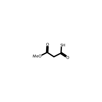 COC(=O)CC(=O)S